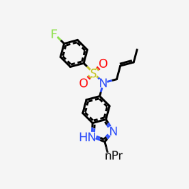 CC=CCN(c1ccc2[nH]c(CCC)nc2c1)S(=O)(=O)c1ccc(F)cc1